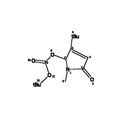 CN1C(=O)C=C(C(C)(C)C)C1OC(=O)OC(C)(C)C